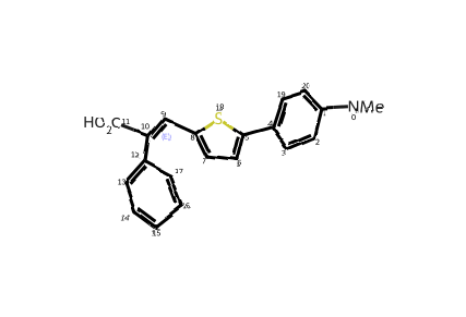 CNc1ccc(-c2ccc(/C=C(/C(=O)O)c3ccccc3)s2)cc1